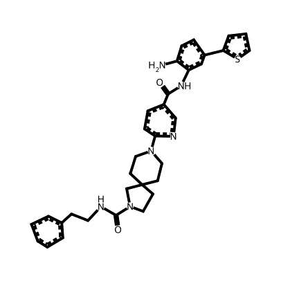 Nc1ccc(-c2cccs2)cc1NC(=O)c1ccc(N2CCC3(CCN(C(=O)NCCc4ccccc4)C3)CC2)nc1